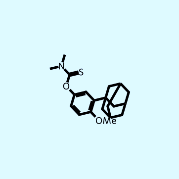 COc1ccc(OC(=S)N(C)C)cc1C12CC3CC(CC(C3)C1)C2